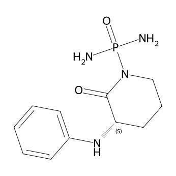 NP(N)(=O)N1CCC[C@H](Nc2ccccc2)C1=O